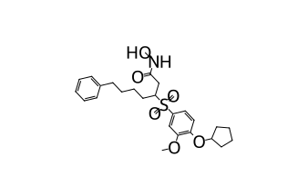 COc1cc(S(=O)(=O)C(CCCCc2ccccc2)CC(=O)NO)ccc1OC1CCCC1